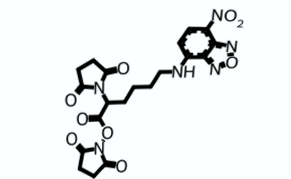 O=C(ON1C(=O)CCC1=O)C(CCCCNc1ccc([N+](=O)[O-])c2nonc12)N1C(=O)CCC1=O